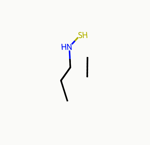 CC.CCCNS